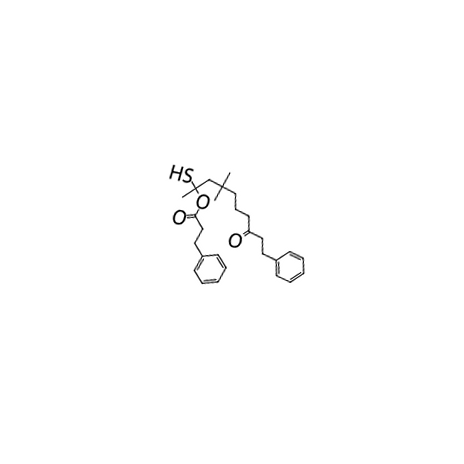 CC(C)(CCCC(=O)CCc1ccccc1)CC(C)(S)OC(=O)CCc1ccccc1